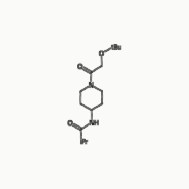 CC(C)C(=O)NC1CCN(C(=O)COC(C)(C)C)CC1